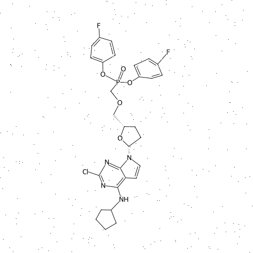 O=P(COC[C@@H]1CC[C@H](n2ccc3c(NC4CCCC4)nc(Cl)nc32)O1)(Oc1ccc(F)cc1)Oc1ccc(F)cc1